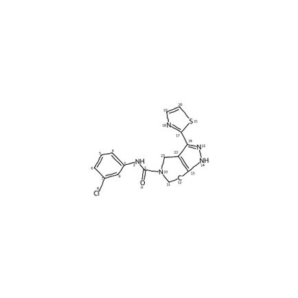 O=C(Nc1cccc(Cl)c1)N1CCc2[nH]nc(-c3nccs3)c2C1